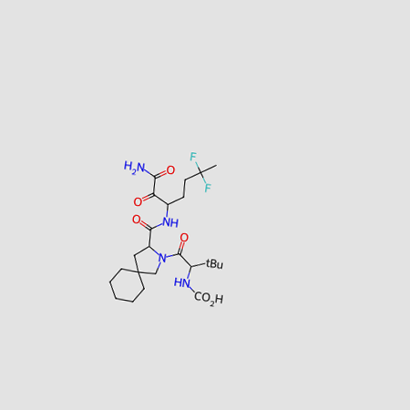 CC(F)(F)CCC(NC(=O)C1CC2(CCCCC2)CN1C(=O)C(NC(=O)O)C(C)(C)C)C(=O)C(N)=O